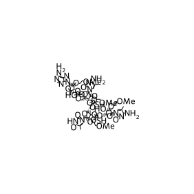 COCCO[C@H]1C(O)[C@@H](COP(=O)(S)OC2[C@@H](COP(=O)(S)OC3[C@@H](COP(=O)(O)OC4[C@@H](C)O[C@@H](n5cnc6c(N)ncnc65)[C@H]4OCCOC)O[C@@H](n4cc(C)c(N)nc4=O)[C@H]3OCCOC)O[C@@H](n3cc(C)c(=O)[nH]c3=O)[C@H]2OCCOC)O[C@H]1n1cc(C)c(N)nc1=O